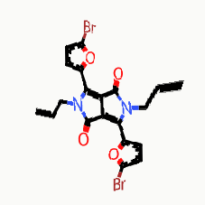 C=CCN1C(=O)C2=C(c3ccc(Br)o3)N(CC=C)C(=O)C2=C1c1ccc(Br)o1